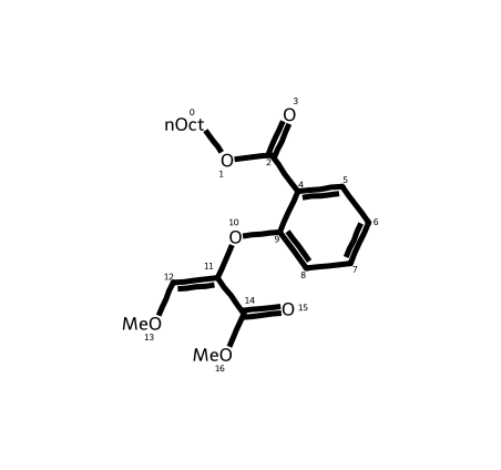 CCCCCCCCOC(=O)c1ccccc1OC(=COC)C(=O)OC